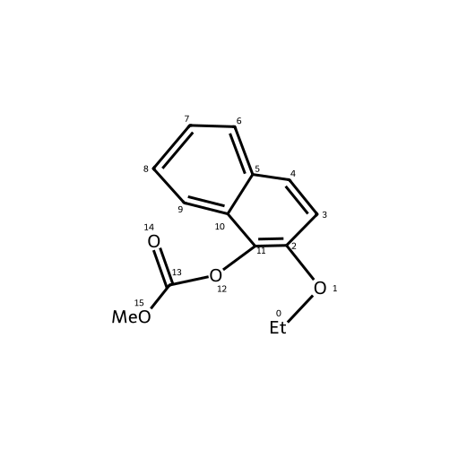 CCOc1ccc2ccccc2c1OC(=O)OC